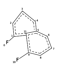 Fc1cc[c]c2cccc(F)c12